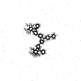 [2H]c1c([2H])c([2H])c2c(c1[2H])c1ccc(-c3ccc4c(c3)-c3cc(-c5ccc6c7c([2H])c([2H])c([2H])c([2H])c7n(-c7ccccc7)c6c5)ccc3C4c3ccc(-c4ccccc4)cc3)cc1n2-c1ccccc1